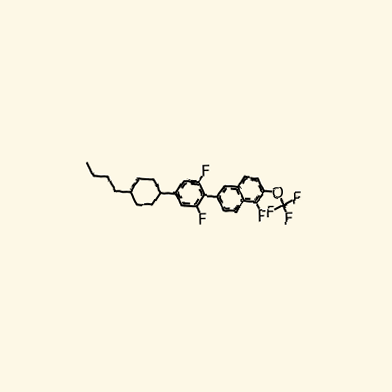 CCCCC1CCC(c2cc(F)c(-c3ccc4c(F)c(OC(F)(F)F)ccc4c3)c(F)c2)CC1